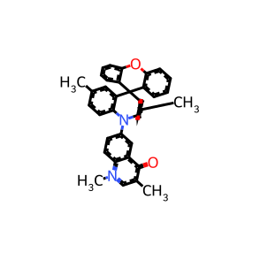 Cc1ccc2c(c1)C1(c3ccccc3Oc3ccccc31)c1cc(C)ccc1N2c1ccc2c(c1)c(=O)c(C)cn2C